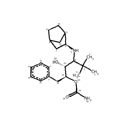 CC(C)(C)C(N[C@H]1CC2CCC1C2)[C@@H](O)[C@H](Cc1ccccc1)OC(N)=O